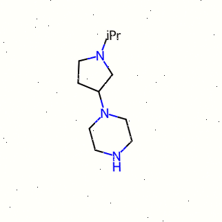 CC(C)N1CCC(N2CCNCC2)C1